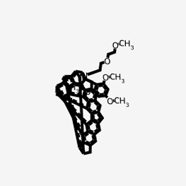 COCCOCCN1CC2C3=c4c5c6c7c(cc8cc9cc%10cc%11cc%12c%13c(c4c4c5c5c7c8c7c9c%10c8c%11c%13c4c8c75)=C(C3)C%12)CC62C1c1c(OC)cc(OC)cc1OC